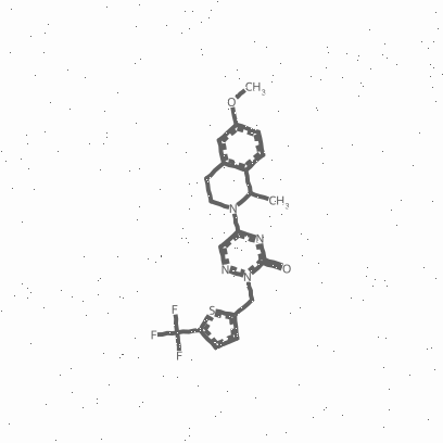 COc1ccc2c(c1)CCN(c1cnn(Cc3ccc(C(F)(F)F)s3)c(=O)n1)C2C